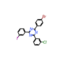 Clc1cccc(-c2nc(-c3ccc(Br)cc3)nc(-c3cccc(I)c3)n2)c1